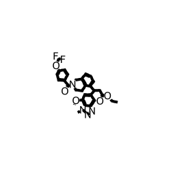 CCOC(=O)CC(c1cc(OC)c2c(c1)nnn2C)c1cccc2c1CCN(C(=O)c1ccc(OC(F)F)cc1)C2